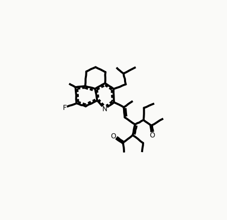 CC/C(C(C)=O)=C(/C=C(\C)c1nc2cc(F)c(C)c3c2c(c1CC(C)C)CCC3)C(CC)C(C)=O